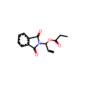 C=CC(OC(=O)CC)N1C(=O)c2ccccc2C1=O